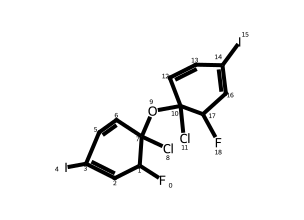 FC1C=C(I)C=CC1(Cl)OC1(Cl)C=CC(I)=CC1F